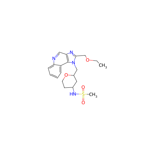 CCOCc1nc2cnc3ccccc3c2n1CC1CC(NS(C)(=O)=O)CCO1